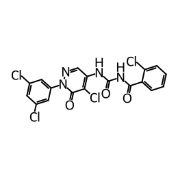 O=C(NC(=O)c1ccccc1Cl)Nc1cnn(-c2cc(Cl)cc(Cl)c2)c(=O)c1Cl